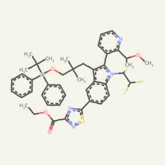 CCOC(=O)c1nsc(-c2ccc3c(c2)c(CC(C)(C)CO[Si](c2ccccc2)(c2ccccc2)C(C)(C)C)c(-c2cccnc2C(C)OC)n3C(F)C(F)F)n1